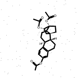 CC(=O)Oc1ccc2c(c1)CC[C@@H]1[C@@H]2CC[C@@]2(C)[C@]13CC[C@]2(OC(C)=O)[C@@H](OC(C)=O)C3